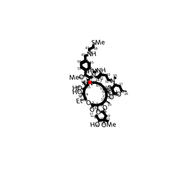 CC[C@H]1OC(=O)[C@H](C)[C@@H](O[C@H]2C[C@@](C)(OC)[C@@H](O)[C@H](C)O2)[C@H](C)[C@@H](O[C@@H]2O[C@H](C)C[C@H](N(C)CCC3=CN([C@H](CF)[C@H](OC)c4ccc(CNCCSC)cc4)NN3)[C@H]2O)[C@](C)(O)C[C@@H](C)CN(C)[C@H](C)[C@@H](O)[C@]1(C)O